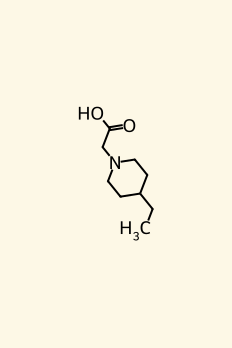 CCC1CCN(CC(=O)O)CC1